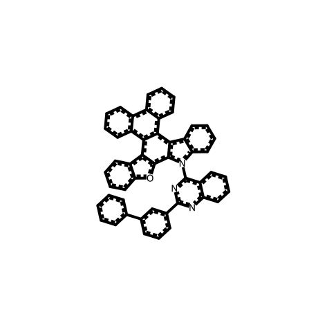 c1ccc(-c2cccc(-c3nc(-n4c5ccccc5c5c6c7ccccc7c7ccccc7c6c6c7ccccc7oc6c54)c4ccccc4n3)c2)cc1